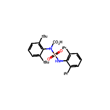 CC(C)c1cccc(C(C)C)c1NS(=O)(=O)N(C(=O)O)c1c(C(C)(C)C)cccc1C(C)(C)C